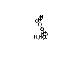 CN1CCN(C(=O)C2CCC(c3ccc(C4=Nc5c(N)ncnc5OC4(C)C)cc3)CC2)CC1